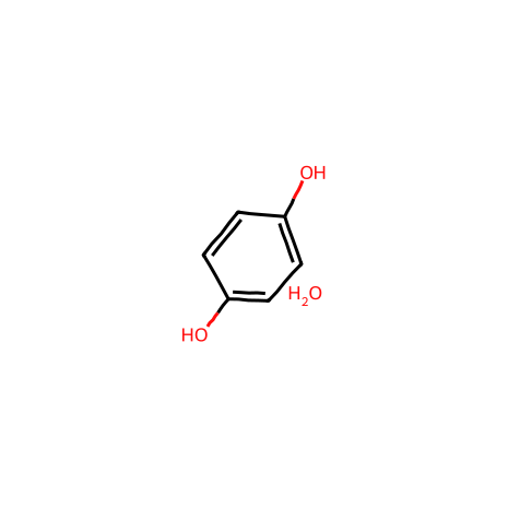 O.Oc1ccc(O)cc1